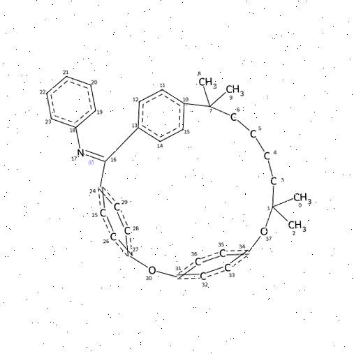 CC1(C)CCCCC(C)(C)c2ccc(cc2)/C(=N\c2ccccc2)c2ccc(cc2)Oc2ccc(cc2)O1